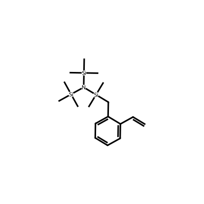 C=Cc1ccccc1C[Si](C)(C)N([Si](C)(C)C)[Si](C)(C)C